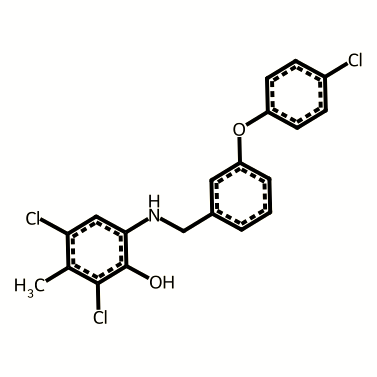 Cc1c(Cl)cc(NCc2cccc(Oc3ccc(Cl)cc3)c2)c(O)c1Cl